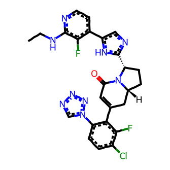 CCNc1nccc(-c2cnc([C@@H]3CC[C@@H]4CC(c5c(-n6cnnn6)ccc(Cl)c5F)=CC(=O)N43)[nH]2)c1F